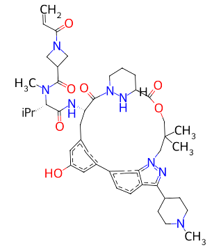 C=CC(=O)N1CC(C(=O)N(C)[C@H](C(=O)N[C@H]2Cc3cc(O)cc(c3)-c3ccc4c(C5CCN(C)CC5)nn(c4c3)CC(C)(C)COC(=O)[C@@H]3CCCN(N3)C2=O)C(C)C)C1